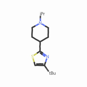 CC(C)N1CCC(c2nc(C(C)(C)C)cs2)CC1